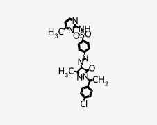 C=C(c1ccc(Cl)cc1)N1N=C(C)C(/N=N/c2ccc(S(=O)(=O)Nc3nccc(C)n3)cc2)C1=O